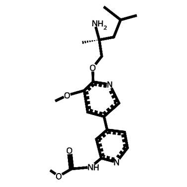 COC(=O)Nc1cc(-c2cnc(OC[C@@](C)(N)CC(C)C)c(OC)c2)ccn1